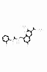 COC(=O)c1cc2cc(Cl)cc(CNC(=O)Nc3ccccc3F)c2nc1OC